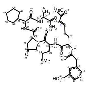 COC(=O)/C=C/CC[C@H](NC(=O)Cc1cncc(C(=O)O)c1)C(=O)N[C@@H](CCSC)C(=O)N1CC(=O)C[C@H]1C(=O)N[C@H](C(=O)N[C@@H](C)C(N)=O)C1CCCCC1